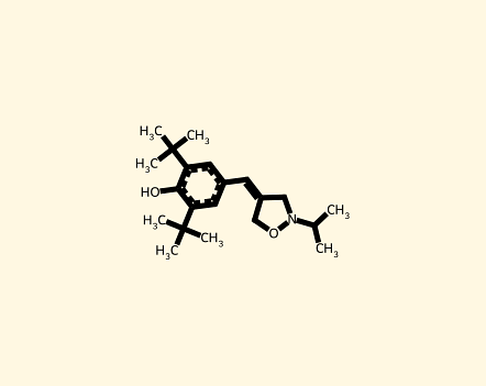 CC(C)N1CC(=Cc2cc(C(C)(C)C)c(O)c(C(C)(C)C)c2)CO1